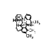 Cc1cc2c(c(C(=O)N[C@H](C)c3ccccc3)c1C)[C@@H]1C[C@@H]3NCCC[C@@H]3CN1CC2